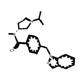 CC(C)N1CC[C@@H](N(C)C(=O)c2ccc(Cn3ncc4ccccc43)cc2)C1